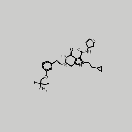 CC(F)(F)COc1cccc(CC[C@H]2Cc3nn(CCC4CC4)c(C(=O)NC4CCOC4)c3C(=O)N2)c1